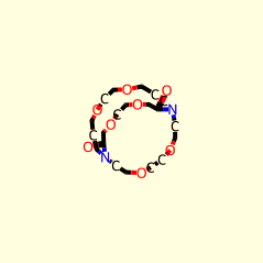 O=C1COCCOCC(=O)N2CCCOCCOCCCN1CCOCCOCC2